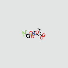 CCN(C[C@H](CCC(=O)OC)O[C@H](C)C(C)C)S(=O)(=O)c1cccc(C(F)(F)F)c1